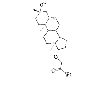 CC(C)C(=O)CO[C@H]1CCC2C3CC=C4C[C@@](C)(O)CC[C@]4(C)C3CC[C@@]21C